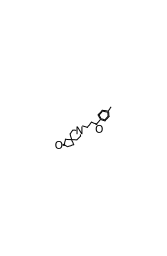 Cc1ccc(C(=O)CCCN2CCC3(CCC(=O)C3)CC2)cc1